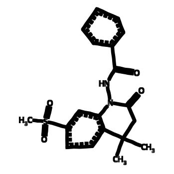 CC1(C)CC(=O)N(NC(=O)c2ccccc2)c2cc(S(C)(=O)=O)ccc21